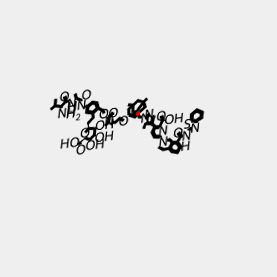 Cc1c(-c2ccc(N3CCc4cccc(C(=O)Nc5nc6ccccc6s5)c4C3)nc2C(=O)O)cnn1CC12CC3(C)CC(C)(C1)CC(OCCN(C)C(=O)OCc1ccc(NC(=O)C(C)NC(=O)C(N)C(C)C)cc1CC[C@@H]1O[C@H](C(=O)O)[C@@H](O)[C@H](O)[C@H]1O)(C3)C2